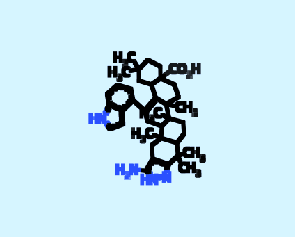 CC1(C)CCC2(C(=O)O)CCC3(C)C(=C(c4cccc5[nH]ccc45)CC4C5(C)Cc6c(n[nH]c6N)C(C)(C)C5CCC43C)C2C1